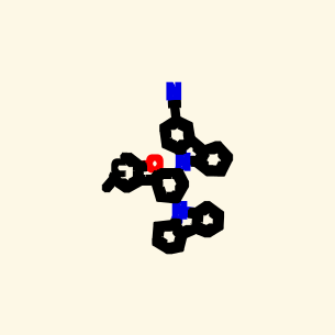 Cc1ccc2oc3c(-n4c5ccccc5c5cc(C#N)ccc54)cc(-n4c5ccccc5c5ccccc54)cc3c2c1